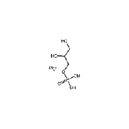 O=P(O)(O)OCC(O)CO.[Mg]